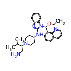 CCOC(c1cccc2cccnc12)n1c(NC2CCN(C(CN)C(C)C)CC2)nc2ccccc21